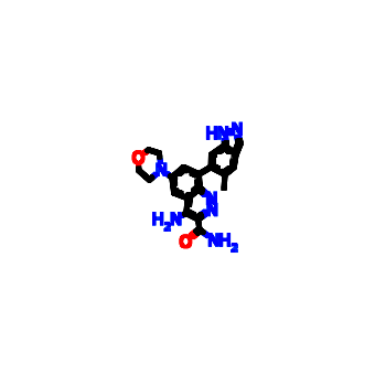 Cc1cc2cn[nH]c2cc1-c1cc(N2CCOCC2)cc2c(N)c(C(N)=O)nnc12